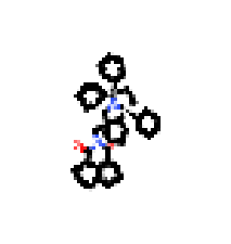 O=C1c2cccc3cccc(c23)C(=O)N1CCCN1[Si](c2ccccc2)(c2ccccc2)CC[Si]1(c1ccccc1)c1ccccc1